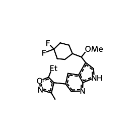 CCc1onc(C)c1-c1cnc2[nH]cc(C(OC)C3CCC(F)(F)CC3)c2c1